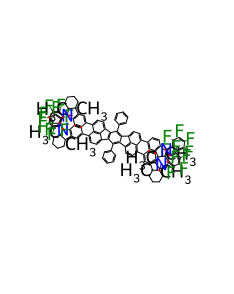 CC12CCCCC1(C)N(c1c(F)c(F)c(F)c(F)c1F)c1ccc(-c3ccc4c5c(-c6ccccc6)c6c7ccc(-c8ccc9c(c8)C8(C)CCCCC8(C)N9c8c(F)c(F)c(F)c(F)c8F)c8c(-c9ccc%10c(c9)C9(C)CCCCC9(C)N%10c9c(F)c(F)c(F)c(F)c9F)ccc(c6c(-c6ccccc6)c5c5ccc(-c6ccc9c(c6)C6(C)CCCCC6(C)N9c6c(F)c(F)c(F)c(F)c6F)c3c45)c87)cc12